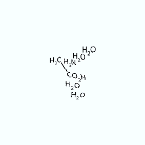 CC(=O)O.N.O.O.O.O